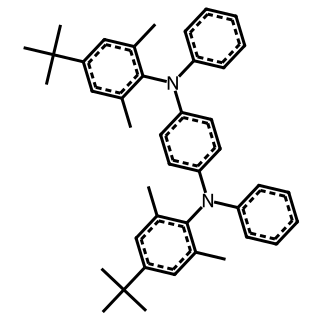 Cc1cc(C(C)(C)C)cc(C)c1N(c1ccccc1)c1ccc(N(c2ccccc2)c2c(C)cc(C(C)(C)C)cc2C)cc1